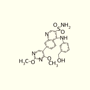 COc1ncc(-c2ccc3c(Nc4cccc(CO)c4)c(S(N)(=O)=O)cnc3c2)c(OC)n1